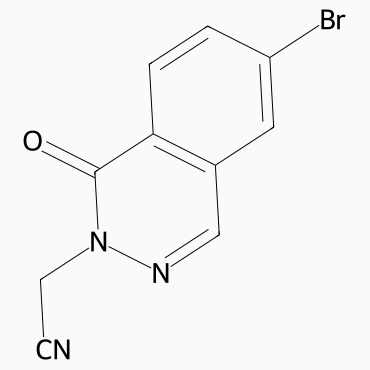 N#CCn1ncc2cc(Br)ccc2c1=O